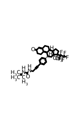 CC(C)(C)NC(=O)NCC#Cc1ccc([C@H]2C[C@@]3(C)[C@@H](CC[C@@]3(O)C(F)(F)C(F)(F)F)[C@@H]3CCC4=CC(=O)CCC4=C32)cc1